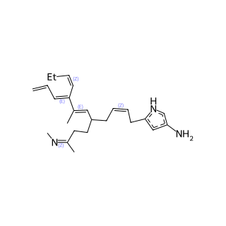 C=C/C=C(\C=C/CC)C(/C)=C/C(C/C=C\Cc1cc(N)c[nH]1)CC/C(C)=N\C